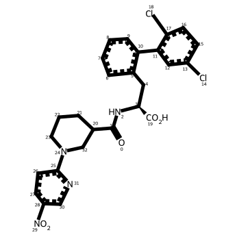 O=C(N[C@@H](Cc1ccccc1-c1cc(Cl)ccc1Cl)C(=O)O)C1CCCN(c2ccc([N+](=O)[O-])cn2)C1